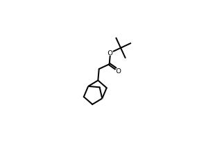 CC(C)(C)OC(=O)CC1CC2CCC1C2